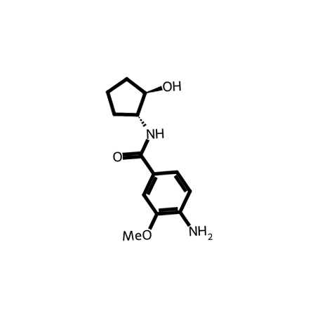 COc1cc(C(=O)N[C@@H]2CCC[C@H]2O)ccc1N